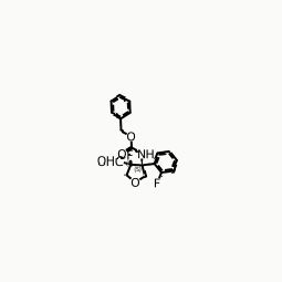 O=C[C@]1(F)COC[C@@]1(NC(=O)OCc1ccccc1)c1ccccc1F